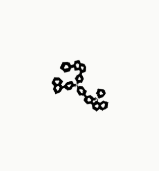 c1ccc(-c2ccc3cccc(-c4ccc(N(c5ccc(-c6ccc7c8ccc9ccccc9c8n(-c8ccccc8)c7c6)cc5)c5ccc(-c6cccc7ccccc67)cc5)cc4)c3c2)cc1